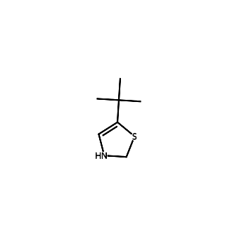 CC(C)(C)C1=CNCS1